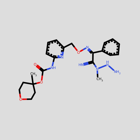 CN(NN)C(=N)/C(=N\OCc1cccc(NC(=O)OC2(C)CCOCC2)n1)c1ccccc1